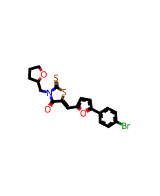 O=C1C(=Cc2ccc(-c3ccc(Br)cc3)o2)SC(=S)N1CC1CCCO1